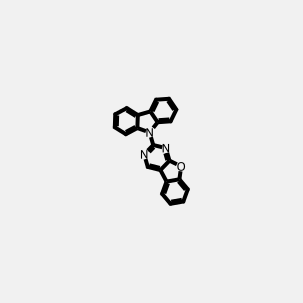 c1ccc2c(c1)oc1nc(-n3c4ccccc4c4ccccc43)ncc12